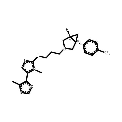 Cc1ncoc1-c1nnc(SCCCN2C[C@@H]3C[C@@]3(c3ccc(C(F)(F)F)cc3)C2)n1C